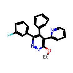 CCOc1nnc(-c2cccc(F)c2)c(-c2ccccc2)c1-c1ccccn1